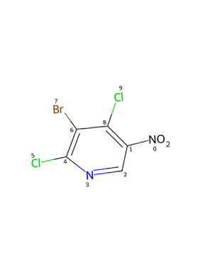 O=[N+]([O-])c1cnc(Cl)c(Br)c1Cl